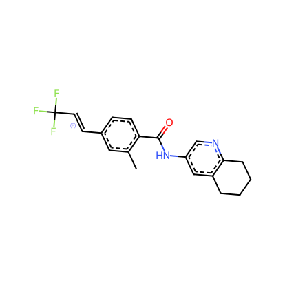 Cc1cc(/C=C/C(F)(F)F)ccc1C(=O)Nc1cnc2c(c1)CCCC2